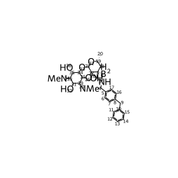 B[C@@]1(CNCc2ccc(Cc3ccccc3)cc2)C[C@@H](C)OC2OC3C(O[C@]21O)[C@@H](NC)[C@@H](O)[C@@H](NC)[C@@H]3O